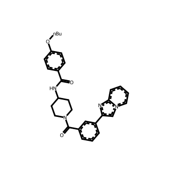 CCCCOc1ccc(C(=O)NC2CCN(C(=O)c3cccc(-c4cn5ccccc5n4)c3)CC2)cc1